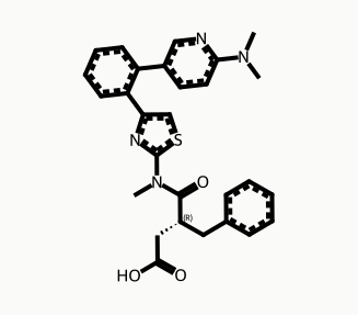 CN(C)c1ccc(-c2ccccc2-c2csc(N(C)C(=O)[C@@H](CC(=O)O)Cc3ccccc3)n2)cn1